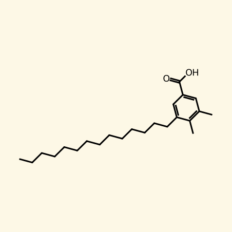 CCCCCCCCCCCCCCc1cc(C(=O)O)cc(C)c1C